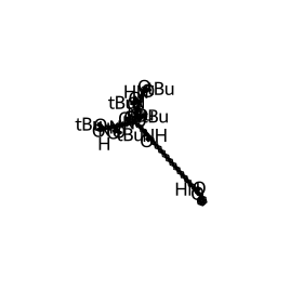 CC(C)(C)OC(=O)NCCCN(CCCCN(CC(CCCCCCNC(=O)CCCCCCCCCCCCCCCCCCCCCCCNC(=O)OCc1ccccc1)CN(CCCCN(CCCNC(=O)OC(C)(C)C)C(=O)OC(C)(C)C)C(=O)OC(C)(C)C)C(=O)OC(C)(C)C)C(=O)OC(C)(C)C